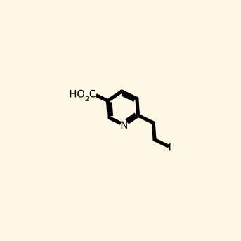 O=C(O)c1ccc(CCI)nc1